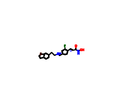 O=C(/C=C/c1ccc(CNCCc2ccc3ccsc3c2)cc1F)NO